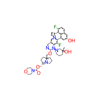 CCc1c(F)ccc2cc(O)cc(-c3ncc4c(c3F)N(N3CCC[C@@](C)(O)C3)C(OC[C@@]35CCCN3[C@H](COC(=O)N3CCOCC3)CC5)N=C4)c12